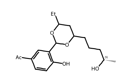 CCC1CC(CCC[C@H](C)O)OC(c2cc(C(C)=O)ccc2O)O1